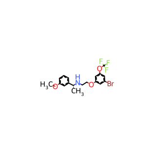 COc1cccc([C@@H](C)NCCOc2cc(Br)cc(OC(F)(F)F)c2)c1